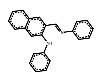 C(=N\c1ccccc1)/c1cc2ccccc2cc1Nc1ccccc1